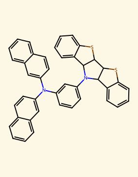 c1cc(N(c2ccc3ccccc3c2)c2ccc3ccccc3c2)cc(N2C3c4ccccc4SC3C3Sc4ccccc4C32)c1